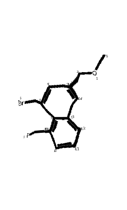 COCc1cc(Br)c2c(F)cccc2c1